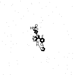 Nc1ncnc2c1c(-c1cc(OC[C@@H]3CCCO3)ccc1F)cn2C1CC2(CNC(=O)O2)C1